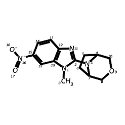 Cn1c(N2C3CCC2COC3)nc2ccc([N+](=O)[O-])cc21